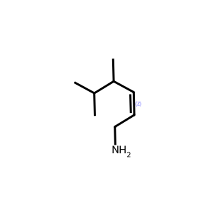 CC(C)C(C)/C=C\CN